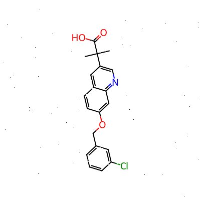 CC(C)(C(=O)O)c1cnc2cc(OCc3cccc(Cl)c3)ccc2c1